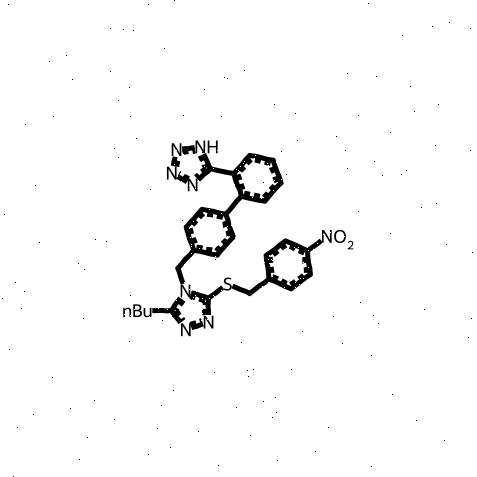 CCCCc1nnc(SCc2ccc([N+](=O)[O-])cc2)n1Cc1ccc(-c2ccccc2-c2nnn[nH]2)cc1